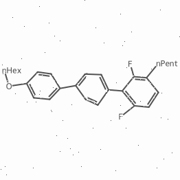 CCCCCCOc1ccc(-c2ccc(-c3c(F)ccc(CCCCC)c3F)cc2)cc1